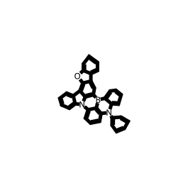 c1ccc(N2c3ccccc3B3c4c2cccc4-n2c4ccccc4c4c5oc6ccccc6c5cc3c42)cc1